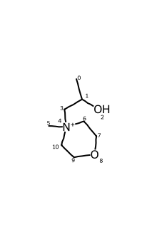 CC(O)C[N+]1(C)CCOCC1